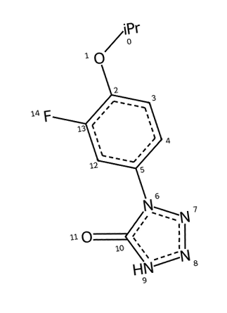 CC(C)Oc1ccc(-n2nn[nH]c2=O)cc1F